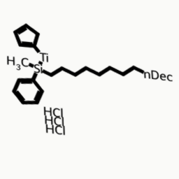 CCCCCCCCCCCCCCCCCC[Si](C)([Ti][C]1=CC=CC1)c1ccccc1.Cl.Cl.Cl